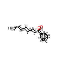 CCCCCCCC(=O)[C]12[CH]3[CH]4[CH]5[CH]1[Fe]45321678[CH]2[CH]1[CH]6[C]7(C(=O)CCCCCCC)[CH]28